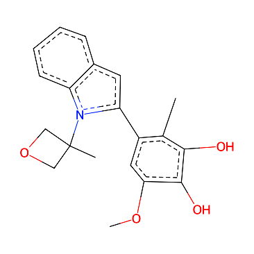 COc1cc(-c2cc3ccccc3n2C2(C)COC2)c(C)c(O)c1O